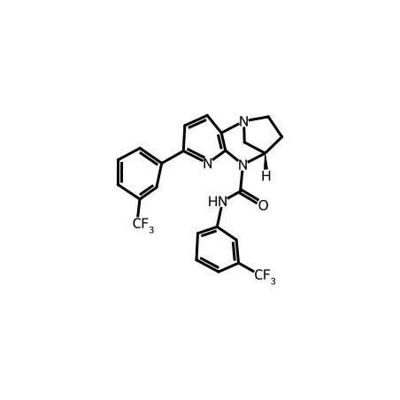 O=C(Nc1cccc(C(F)(F)F)c1)N1c2nc(-c3cccc(C(F)(F)F)c3)ccc2N2CC[C@H]1C2